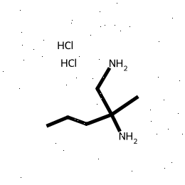 CCCC(C)(N)CN.Cl.Cl